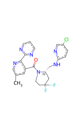 Cc1cnc(-c2ncccn2)c(C(=O)N2CCC(F)(F)C[C@H]2CNc2ccc(Cl)cn2)c1